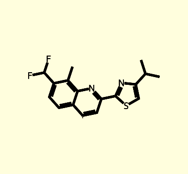 Cc1c(C(F)F)ccc2[c]cc(-c3nc(C(C)C)cs3)nc12